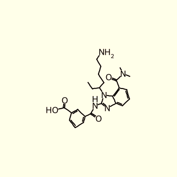 CCC(CCCCN)n1c(NC(=O)c2cccc(C(=O)O)c2)nc2cccc(C(=O)N(C)C)c21